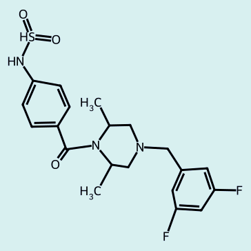 CC1CN(Cc2cc(F)cc(F)c2)CC(C)N1C(=O)c1ccc(N[SH](=O)=O)cc1